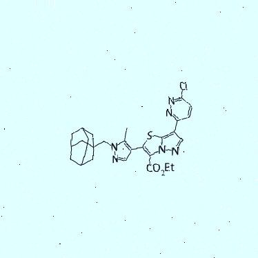 CCOC(=O)c1c(-c2cnn(CC34CC5CC(CC(C5)C3)C4)c2C)sc2c(-c3ccc(Cl)nn3)cnn12